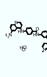 C[n+]1ccc(Nc2cccc(NC(=O)c3ccc(Nc4ccnc5ccc(N)cc45)cc3)c2)cc1.Cl.[Cl-]